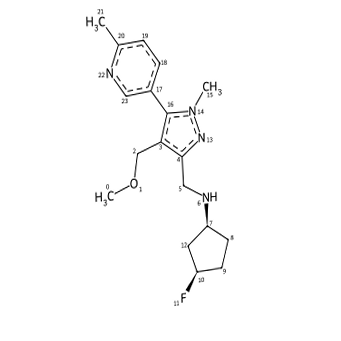 COCc1c(CN[C@H]2CC[C@@H](F)C2)nn(C)c1-c1ccc(C)nc1